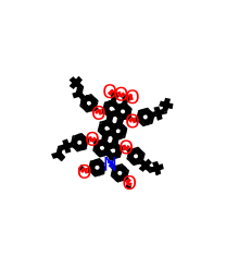 C=C(C)CC(C)(C)c1ccc(Oc2ccc3c(N(c4ccc(OC)cc4)c4ccc(OC)cc4)cc(Oc4ccc(C(C)(C)CC(C)(C)C)cc4)c4c5ccc6c7c(Oc8ccc(C(C)(C)CC(C)(C)C)cc8)cc8c9c(cc(Oc%10ccc(/C(C)=C/C(C)(C)C)cc%10)c(c%10ccc(c2c34)c5c%106)c97)C(=O)OC8=O)cc1